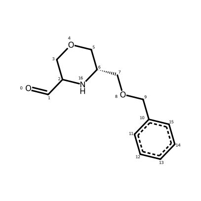 O=CC1COC[C@H](COCc2ccccc2)N1